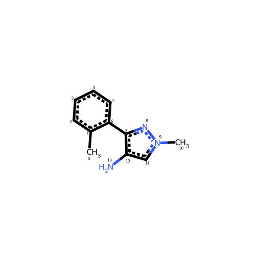 Cc1ccccc1-c1nn(C)cc1N